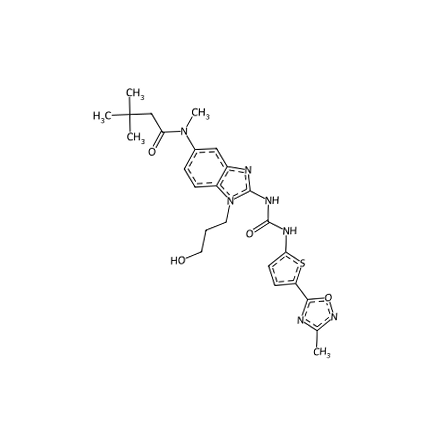 Cc1noc(-c2ccc(NC(=O)Nc3nc4cc(N(C)C(=O)CC(C)(C)C)ccc4n3CCCO)s2)n1